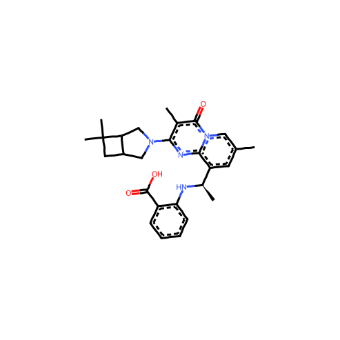 Cc1cc([C@@H](C)Nc2ccccc2C(=O)O)c2nc(N3CC4CC(C)(C)C4C3)c(C)c(=O)n2c1